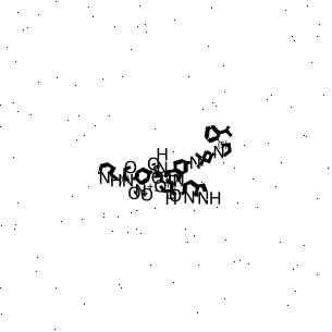 CC(C)c1ccccc1[C@@H]1CCCN1C1CC2(C1)CN(c1ccc(C(=O)NS(=O)(=O)c3cc4c(c([N+](=O)[O-])c3)N[C@H](Cc3ccccn3)CO4)c(N3c4cc5cc[nH]c5nc4O[C@@H]4COC[C@H]43)c1)C2